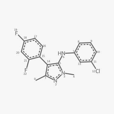 Cc1nn(C)c(Nc2cccc(Cl)c2)c1-c1ccc(F)cc1F